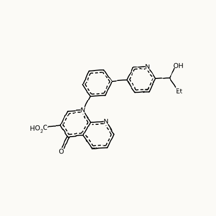 CCC(O)c1ccc(-c2cccc(-n3cc(C(=O)O)c(=O)c4cccnc43)c2)cn1